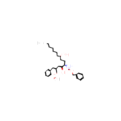 CCCCCCCC(O)CCC(NC(=O)OCc1ccccc1)C(=O)CC(COC)Cc1ccccc1